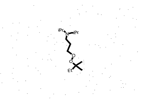 CCC(C)(C)OOCCCN(C(C)C)C(C)C